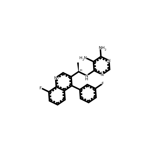 C[C@@H](Nc1ncnc(N)c1N)c1cnc2c(F)cccc2c1-c1cccc(F)c1